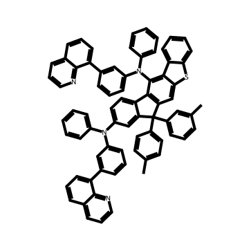 Cc1ccc(C2(c3cccc(C)c3)c3cc(N(c4ccccc4)c4cccc(-c5cccc6cccnc56)c4)ccc3-c3c2cc2sc4ccccc4c2c3N(c2ccccc2)c2cccc(-c3cccc4cccnc34)c2)cc1